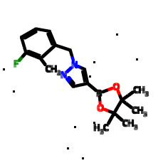 Cc1c(F)cccc1Cn1cc(B2OC(C)(C)C(C)(C)O2)cn1